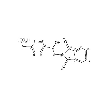 O=C(O)Cc1ccc(C(O)CN2C(=O)c3ccccc3C2=O)cc1